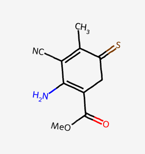 COC(=O)C1=C(N)C(C#N)=C(C)C(=S)C1